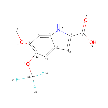 COc1cc2[nH]c(C(=O)O)cc2cc1OC(F)(F)F